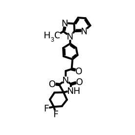 Cc1nc2cccnc2n1-c1ccc(C(=O)CN2C(=O)NC3(CCC(F)(F)CC3)C2=O)cc1